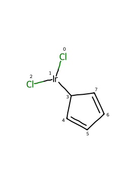 [Cl][Ir]([Cl])[CH]1C=CC=C1